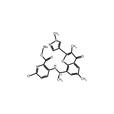 Cc1cc([C@@H](C)Nc2ccc(Cl)nc2C(=O)OC(C)(C)C)c2oc(-c3cnn(C)c3)c(C)c(=O)c2c1